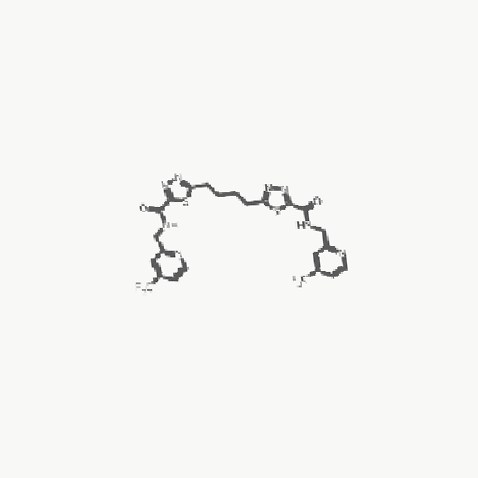 O=C(NCc1cc(C(F)(F)F)ccn1)c1nnc(CCCCc2nnc(C(=O)NCc3cc(C(F)(F)F)ccn3)s2)s1